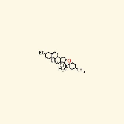 CCC1CCC2(C)C(=CCC3C2CCC2(C)C3CC3OC4(CCC(C)CC4)C(C)C32)C1